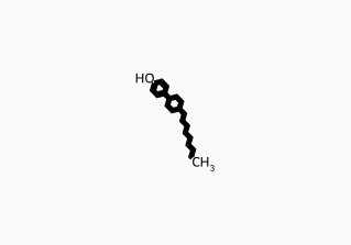 CCCCCCCCCC1CCC(c2ccc(O)cc2)CC1